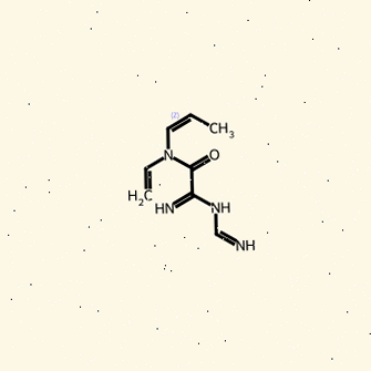 C=CN(/C=C\C)C(=O)C(=N)NC=N